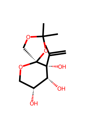 C=C(C)[C@@]1(O)[C@H](O)[C@H](O)CO[C@]12COC(C)(C)O2